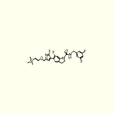 C[Si](C)(C)CCOCn1cc(-c2cc3c(cc2F)N(C(=O)NCc2cc(F)cc(F)c2)CC3)c(F)n1